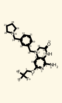 Nc1nc(OCC(F)(F)F)cc2c1NC(=O)CN2Cc1cccc(CN2CCCC2)c1